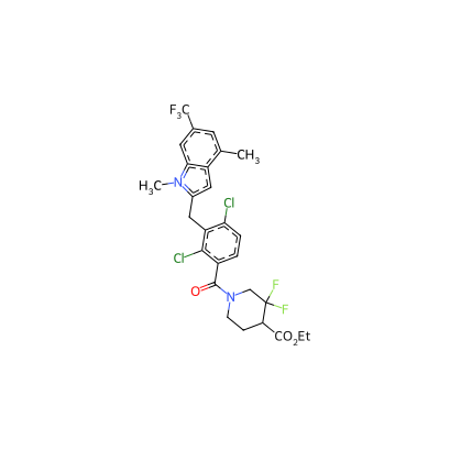 CCOC(=O)C1CCN(C(=O)c2ccc(Cl)c(Cc3cc4c(C)cc(C(F)(F)F)cc4n3C)c2Cl)CC1(F)F